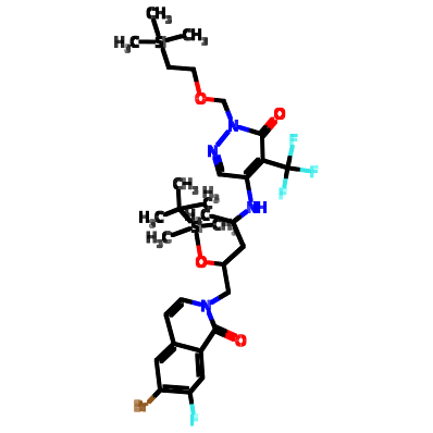 CC(CC(Cn1ccc2cc(Br)c(F)cc2c1=O)O[Si](C)(C)C(C)(C)C)Nc1cnn(COCC[Si](C)(C)C)c(=O)c1C(F)(F)F